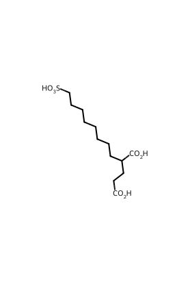 O=C(O)CCC(CCCCCCCCS(=O)(=O)O)C(=O)O